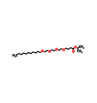 CCCCCCCCCCCOCCOCCOCCOCCCC(=O)OC(C)C